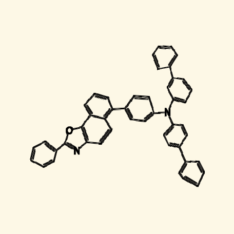 c1ccc(-c2ccc(N(c3ccc(-c4cccc5c4ccc4nc(-c6ccccc6)oc45)cc3)c3cccc(-c4ccccc4)c3)cc2)cc1